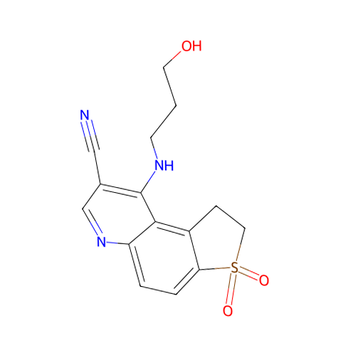 N#Cc1cnc2ccc3c(c2c1NCCCO)CCS3(=O)=O